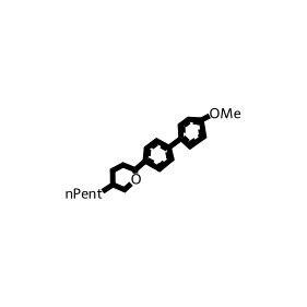 CCCCCC1CCC(c2ccc(-c3ccc(OC)cc3)cc2)OC1